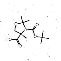 CC(C)(C)OC(=O)N1C(C)(C)OC[C@@]1(C)C(=O)O